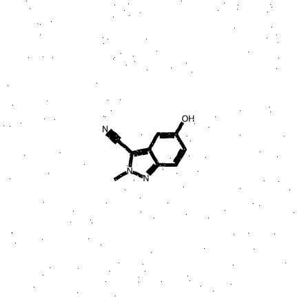 Cn1nc2ccc(O)cc2c1C#N